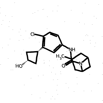 CC1CC2CC(C1)N2C(=O)Nc1ccc(Cl)c([C@H]2C[C@@H](O)C2)c1